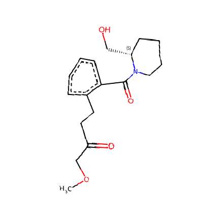 COCC(=O)CCc1ccccc1C(=O)N1CCCC[C@H]1CO